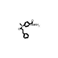 CN(C(=O)CCc1ccccc1)c1ccc(C(=O)NN)cc1